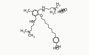 Cc1cc(CNCCCN(C)C)c(OCCCCCCCCc2ccc(O)cc2)c(CNCCCN(C)C)c1.Cl.Cl.Cl.Cl